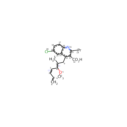 C=C/C=C\C(OC(F)(F)F)=C(/C)Cc1c(C(=O)O)c(C(C)C)nc2ccc(Cl)cc12